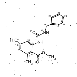 COC(=O)c1c(C)cc(C)cc1NC(=O)NCc1ccccc1